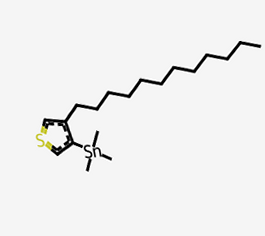 CCCCCCCCCCCCc1csc[c]1[Sn]([CH3])([CH3])[CH3]